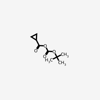 CC(C)(C)OC(=O)OC(=O)C1CC1